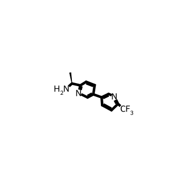 C[C@H](N)c1ccc(-c2ccc(C(F)(F)F)nc2)cn1